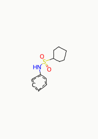 O=S(=O)(Nc1ccccc1)C1CCCCC1